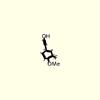 COc1ccc(C#CO)cc1F